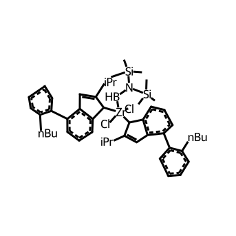 CCCCc1ccccc1-c1cccc2c1C=C(C(C)C)[CH]2[Zr]([Cl])([Cl])([BH]N([Si](C)(C)C)[Si](C)(C)C)[CH]1C(C(C)C)=Cc2c(-c3ccccc3CCCC)cccc21